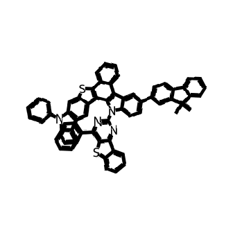 CC1(C)c2ccccc2-c2ccc(-c3ccc4c(c3)c3c5ccccc5c5sc6cc7c(cc6c5c3n4-c3nc(-c4ccccc4)c4sc5ccccc5c4n3)c3ccccc3n7-c3ccccc3)cc21